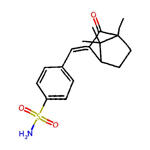 CC12CCC(C(=Cc3ccc(S(N)(=O)=O)cc3)C1=O)C2(C)C